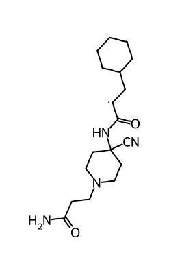 N#CC1(NC(=O)[CH]CC2CCCCC2)CCN(CCC(N)=O)CC1